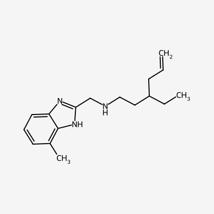 C=CCC(CC)CCNCc1nc2cccc(C)c2[nH]1